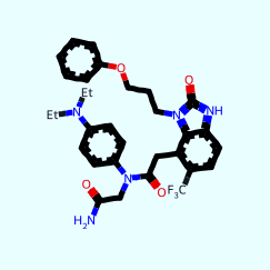 CCN(CC)c1ccc(N(CC(N)=O)C(=O)Cc2c(C(F)(F)F)ccc3[nH]c(=O)n(CCCOc4ccccc4)c23)cc1